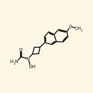 COc1ccc2cc(C3CC(N(O)C(N)=O)C3)ccc2c1